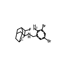 Nc1c(Br)cc(Br)cc1CNC12CC3CC(CC(C3)C1F)C2